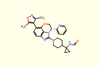 Cc1noc(C)c1-c1ccc2nc(N3CCC(C4(NC=O)CC4)CC3)n3c2c1OC[C@@H]3c1ccccn1